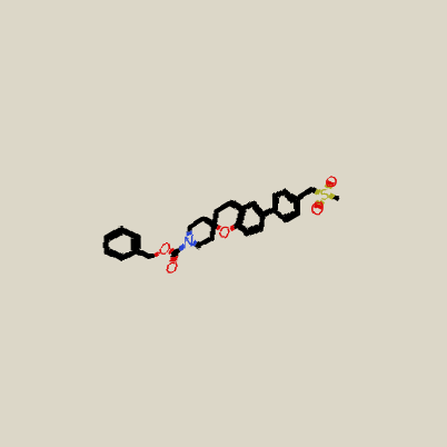 CS(=O)(=O)Cc1ccc(-c2ccc3c(c2)CCC2(CCN(C(=O)OCc4ccccc4)CC2)O3)cc1